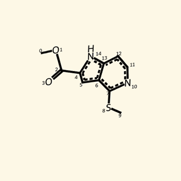 COC(=O)c1cc2c(SC)nccc2[nH]1